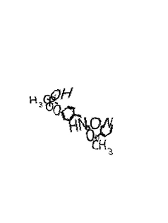 C[C@H](OC(=O)NCc1ccc(OCP(C)(=O)O)cc1)c1cccnc1